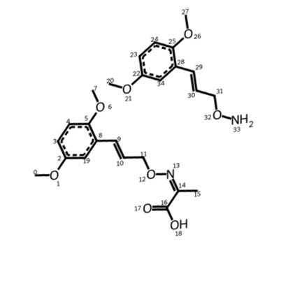 COc1ccc(OC)c(/C=C/CO/N=C(/C)C(=O)O)c1.COc1ccc(OC)c(/C=C/CON)c1